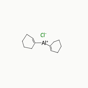 C1=[C]([Al+][C]2=CCCCC2)CCCC1.[Cl-]